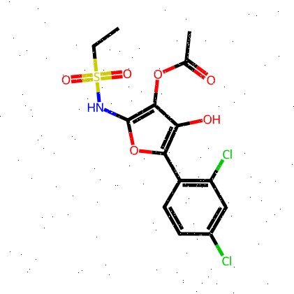 CCS(=O)(=O)Nc1oc(-c2ccc(Cl)cc2Cl)c(O)c1OC(C)=O